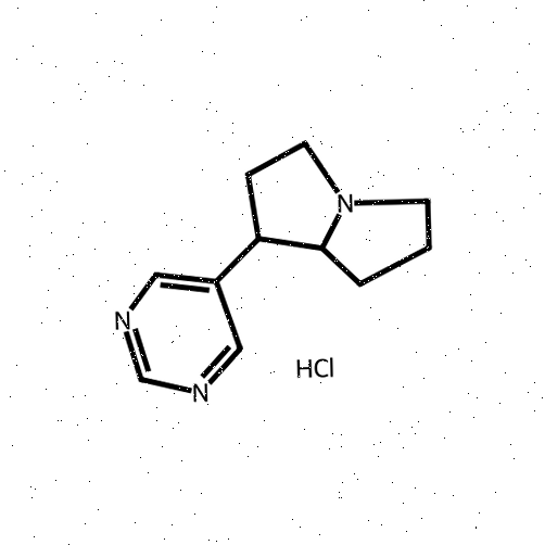 Cl.c1ncc(C2CCN3CCCC23)cn1